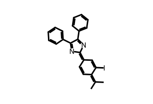 CC(C)=c1ccc(=C2N=C(c3ccccc3)C(c3ccccc3)=N2)cc1I